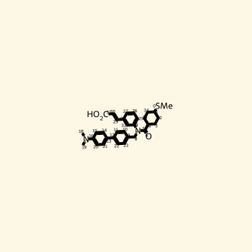 CSC1CCC(C(=O)N(Cc2ccc(-c3ccc(N(C)C)cc3)cc2)c2cccc(C=CC(=O)O)c2)CC1